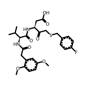 COc1ccc(OC)c(CC(=O)N[C@H](C(=O)N[C@@H](CC(=O)O)C(=O)CSCc2ccc(F)cc2)C(C)C)c1